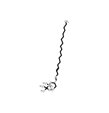 CCCCCCCCCCCCCCC/C=C/COC[C@H](CO)O[Si](C)(C)C(C)(C)C